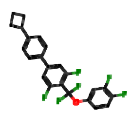 Fc1ccc(OC(F)(F)c2c(F)cc(-c3ccc(C4CCC4)cc3)cc2F)cc1F